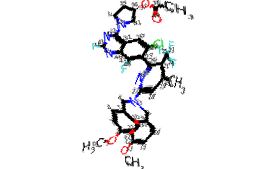 COc1ccc(CN(Cc2ccc(OC)cc2)c2cc(C)c(C(F)(F)F)c(-c3c(Cl)cc4c(N5CC[C@H](OC(C)=O)C5)nc(F)nc4c3F)n2)cc1